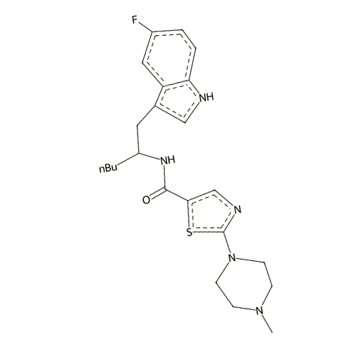 CCCCC(Cc1c[nH]c2ccc(F)cc12)NC(=O)c1cnc(N2CCN(C)CC2)s1